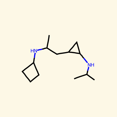 CC(C)NC1CC1CC(C)NC1CCC1